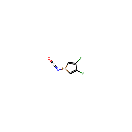 O=C=N[SH]1C=C(F)C(F)=C1